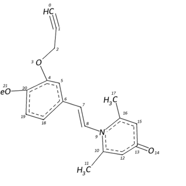 C#CCOc1cc(/C=C/n2c(C)cc(=O)cc2C)ccc1OC